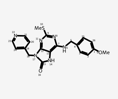 COc1ccc(CNc2nc(SC)nc3c2[nH]c(=O)n3Cc2ccncc2)cc1